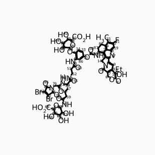 CC[C@@]1(O)C(=O)OCc2c1cc1n(c2=O)Cc2c-1nc1cc(F)c(C)c3c1c2[C@@H](NC(=O)Oc1ccc(O[C@@H]2O[C@H](C(=O)O)[C@@H](O)[C@H](O)[C@H]2O)c(NC(=O)CCNC(=O)[C@H](CCCC(=O)N[C@H]2O[C@H](C(=O)O)[C@@H](O)[C@H](O)[C@H]2O)NC(=O)CN2C(=O)C(Br)=C(Br)C2=O)c1)CC3